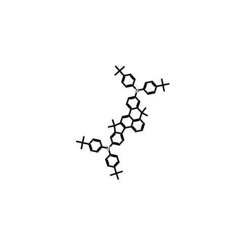 CC(C)(C)c1ccc(N(c2ccc(C(C)(C)C)cc2)c2ccc3c(c2)C(C)(C)c2cc4c5c(cccc5c2-3)C(C)(C)c2cc(N(c3ccc(C(C)(C)C)cc3)c3ccc(C(C)(C)C)cc3)ccc2-4)cc1